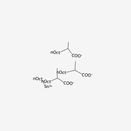 CCCCCCCCC(C)C(=O)[O-].CCCCCCCCC(C)C(=O)[O-].CCCCCCCCC(C)C(=O)[O-].CCCCCCC[CH2][Sn+3]